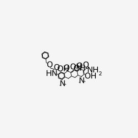 CN(C)c1cc(NC(=O)COCc2ccccc2)c(O)c2c1CC1CC3[C@H](N(C)C)C(O)=C(C(N)=O)C(=O)[C@@]3(O)C(O)=C1C2=O